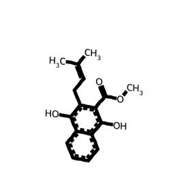 COC(=O)c1c(CC=C(C)C)c(O)c2ccccc2c1O